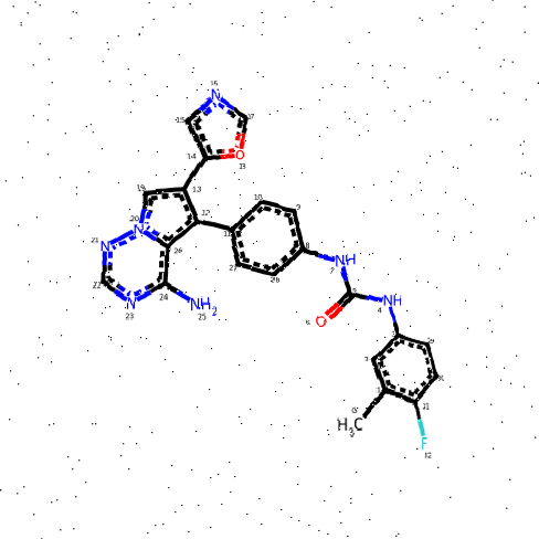 Cc1cc(NC(=O)Nc2ccc(-c3c(-c4cnco4)cn4ncnc(N)c34)cc2)ccc1F